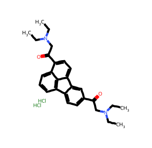 CCN(CC)CC(=O)c1ccc2c(c1)-c1ccc(C(=O)CN(CC)CC)c3cccc-2c13.Cl.Cl